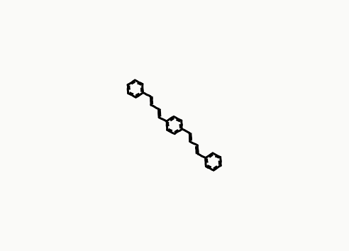 C(/C=C/c1ccc(/C=C/C=C/c2ccccc2)cc1)=C\c1ccccc1